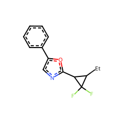 CCC1C(c2ncc(-c3ccccc3)o2)C1(F)F